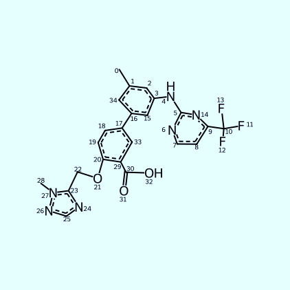 Cc1cc(Nc2nccc(C(F)(F)F)n2)cc(-c2ccc(OCc3ncnn3C)c(C(=O)O)c2)c1